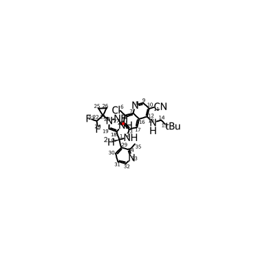 [2H][C@](Nc1cc(Cl)c2ncc(C#N)c(NCC(C)(C)C)c2c1)(C1=CN(C2(C(F)F)CC2)NN1)c1cccnc1C